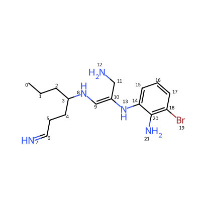 CCCC(CCC=N)N/C=C(\CN)Nc1cccc(Br)c1N